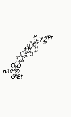 C=C1CC[C@H](OC(=O)C(CCCC)OC(=O)CC)C/C1=C/C=C1\CCC[C@]2(C)[C@@H]([C@H](C)CCCC(C)C)CC[C@@H]12